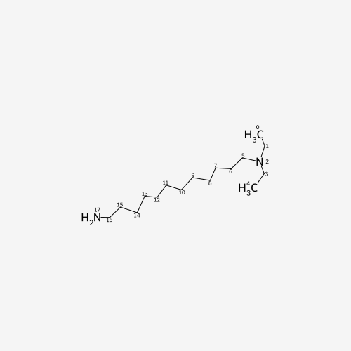 CCN(CC)CCCCCCCCCCCCN